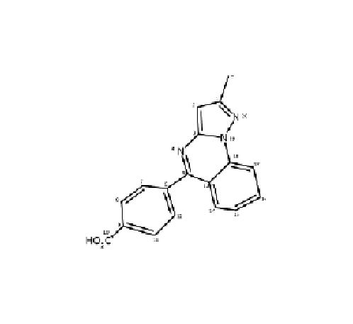 Cc1cc2nc(-c3ccc(C(=O)O)cc3)c3ccccc3n2n1